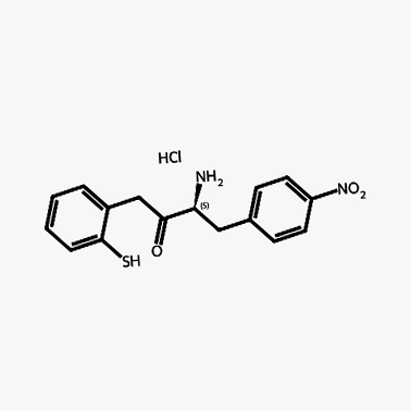 Cl.N[C@@H](Cc1ccc([N+](=O)[O-])cc1)C(=O)Cc1ccccc1S